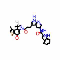 Cc1csc2c1[C@@]13C[C@@H]1CN(C(=O)/C=C/c1c[nH]c4ncc(NC(=O)c5cc6ccccc6[nH]5)cc14)C3=CC2=O